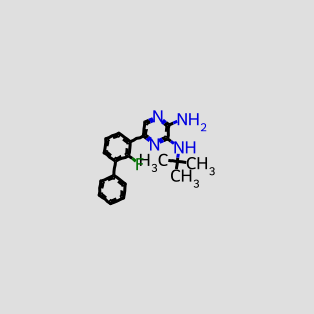 CC(C)(C)Nc1nc(-c2cccc(-c3ccccc3)c2F)cnc1N